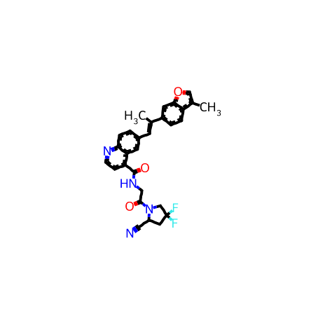 C/C(=C\c1ccc2nccc(C(=O)NCC(=O)N3CC(F)(F)CC3C#N)c2c1)c1ccc2c(C)coc2c1